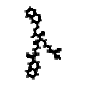 CN(CCc1ccc2ccccc2c1)C(=O)[C@H](CCCNC(=N)N)NCCNC(=O)c1ccc2ccccc2c1